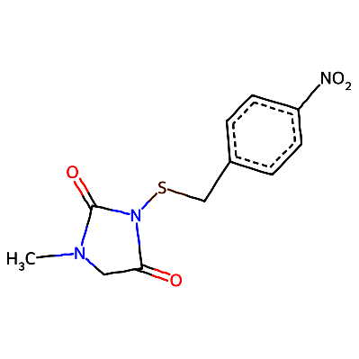 CN1CC(=O)N(SCc2ccc([N+](=O)[O-])cc2)C1=O